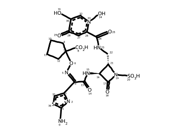 Nc1nc(C(=NOC2(C(=O)O)CCCC2)C(=O)N[C@@H]2C(=O)N(S(=O)(=O)O)[C@H]2CNC(=O)c2cc(=O)c(O)cn2O)cs1